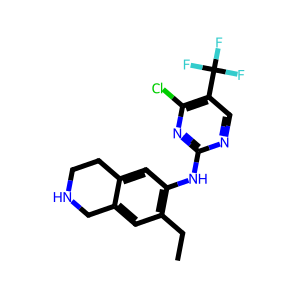 CCc1cc2c(cc1Nc1ncc(C(F)(F)F)c(Cl)n1)CCNC2